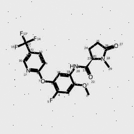 COc1cc(F)c(Oc2ccc(C(F)(F)F)cn2)cc1NC(=O)[C@H]1CCC(=O)N1C